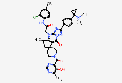 Cc1ncnc(C(=O)N2CCC3(CC2)CC(C)c2c3c(=O)n3nc(-c4ccc(C5(N(C)C)CC5)cc4)nc3n2CC(=O)Nc2ccc(C(F)(F)F)cc2Cl)c1O